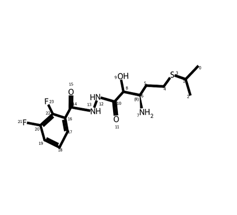 CC(C)SCC[C@@H](N)C(O)C(=O)NNC(=O)c1cccc(F)c1F